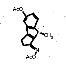 CC(=O)O/N=C1\CCc2c1n(C)c1ccc(OC(C)=O)cc21